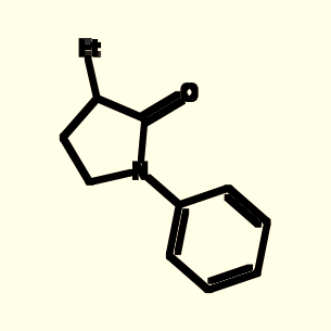 CCC1CCN(c2ccccc2)C1=O